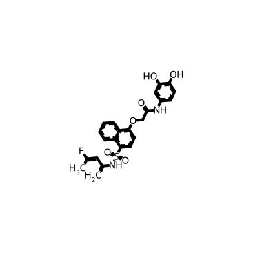 C=C(/C=C(\C)F)NS(=O)(=O)c1ccc(OCC(=O)Nc2ccc(O)c(O)c2)c2ccccc12